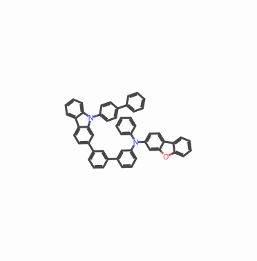 c1ccc(-c2ccc(-n3c4ccccc4c4ccc(-c5cccc(-c6cccc(N(c7ccccc7)c7ccc8c(c7)oc7ccccc78)c6)c5)cc43)cc2)cc1